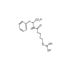 O=C(CCCCON(O)O)NC(Cc1ccccc1)C(=O)O